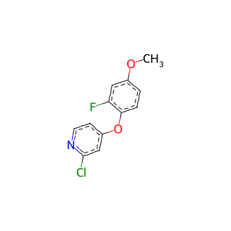 COc1ccc(Oc2ccnc(Cl)c2)c(F)c1